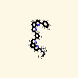 C#C/C=C\C=C(/C)c1ccc2ccc3ccc(-c4cccc(-c5ccc6ccc7ccc(-c8ccccc8)nc7c6n5)c4)nc3c2n1